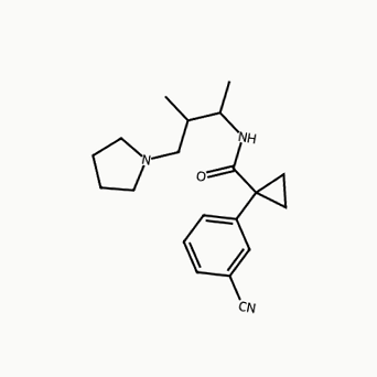 CC(CN1CCCC1)C(C)NC(=O)C1(c2cccc(C#N)c2)CC1